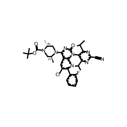 CC(C)c1nc(C#N)nc(C(C)C)c1-n1c(=O)nc(N2C[C@@H](C)N(C(=O)OC(C)(C)C)C[C@@H]2C)c2cc(Cl)c(-c3ccccc3F)nc21